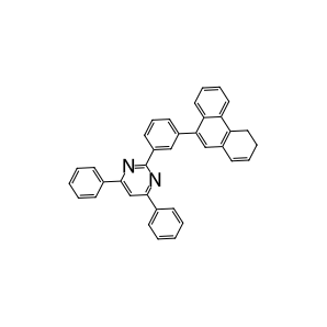 C1=Cc2cc(-c3cccc(-c4nc(-c5ccccc5)cc(-c5ccccc5)n4)c3)c3ccccc3c2CC1